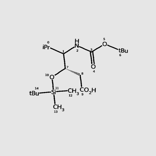 CC(C)C(NC(=O)OC(C)(C)C)[C@H](CC(=O)O)O[Si](C)(C)C(C)(C)C